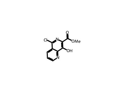 COC(=O)c1nc(Cl)c2cccnc2c1O